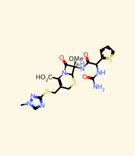 CO[C@]1(NC(=O)C(NC(N)=O)c2cccs2)C(=O)N2C(C(=O)O)=C(CSc3ncn(C)n3)CSC21